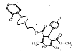 COC(=O)C1=C(C)NC(C)=C(C(=O)OCCN2CCN(c3ccccc3Cl)CC2)C1c1ccc(Cl)cc1